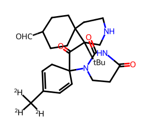 [2H]C([2H])([2H])C1=CCC(C(=O)C2(C(C)(C)C)CNCCC23CCC(C=O)CC3)(N2CCC(=O)NC2=O)C=C1